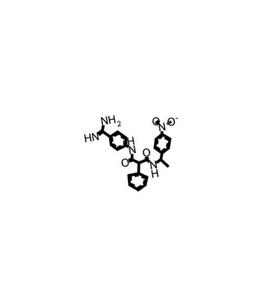 CC(NC(=O)C(C(=O)Nc1ccc(C(=N)N)cc1)c1ccccc1)c1ccc([N+](=O)[O-])cc1